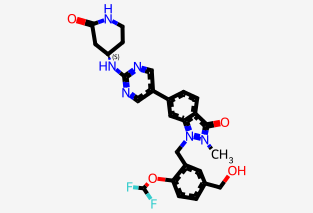 Cn1c(=O)c2ccc(-c3cnc(N[C@H]4CCNC(=O)C4)nc3)cc2n1Cc1cc(CO)ccc1OC(F)F